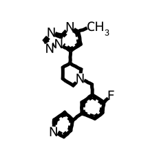 Cc1cc(C2CCCN(Cc3cc(-c4ccncc4)ccc3F)C2)n2ncnc2n1